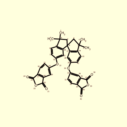 CC1(C)CC2(CC(C)(C)c3ccc(Oc4ccc5c(c4)C(=O)OC5=O)cc32)c2cc(Oc3ccc4c(c3)C(=O)OC4=O)ccc21